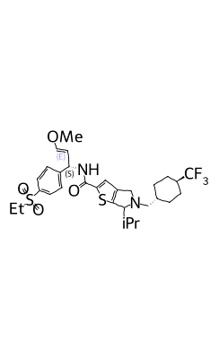 CCS(=O)(=O)c1ccc([C@H](/C=C/OC)NC(=O)c2cc3c(s2)C(C(C)C)N(C[C@H]2CC[C@H](C(F)(F)F)CC2)C3)cc1